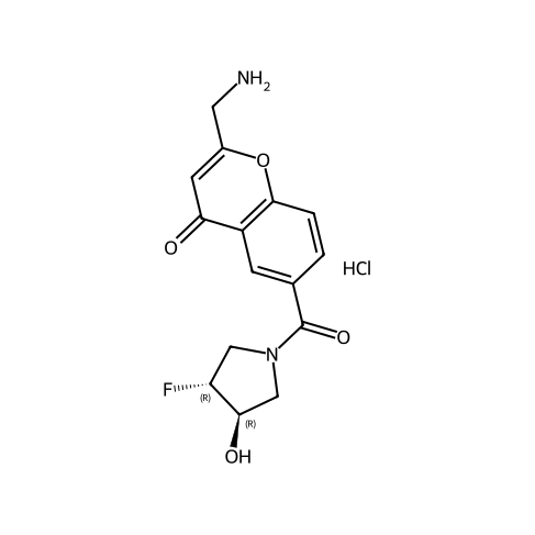 Cl.NCc1cc(=O)c2cc(C(=O)N3C[C@@H](O)[C@H](F)C3)ccc2o1